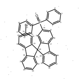 O=P(c1ccccc1)(c1ccccc1)c1ccc2c(c1)C1(c3ccccc3-c3ccc(Br)cc31)c1ccccc1-2